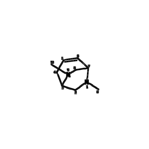 CN1CC2CC=CC1CN2C